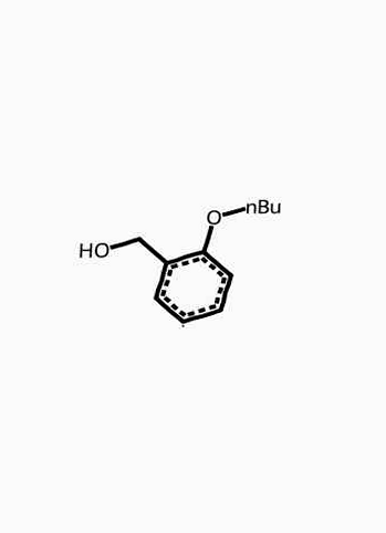 CCCCOc1cc[c]cc1CO